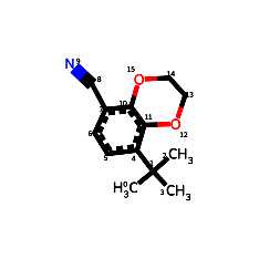 CC(C)(C)c1ccc(C#N)c2c1OCCO2